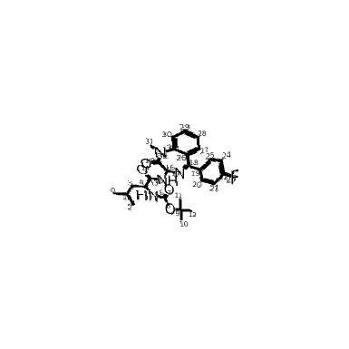 CC(C)CC(NC(=O)OC(C)(C)C)C(=O)NC1N=C(c2ccc(F)cc2)c2ccccc2N(C)C1=O